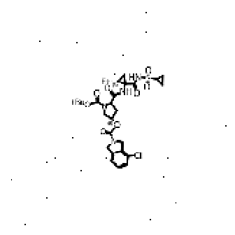 CC[C@@H]1CC1(NC(=O)C1C[C@@H](OC(=O)N2Cc3cccc(Cl)c3C2)CN1C(=O)OC(C)(C)C)C(=O)NS(=O)(=O)C1CC1